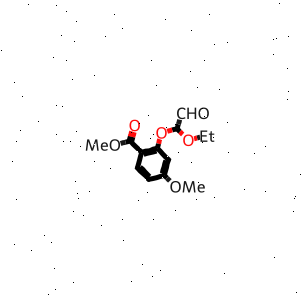 CCOC(C=O)Oc1cc(OC)ccc1C(=O)OC